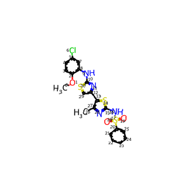 COc1ccc(Cl)cc1Nc1nc(-c2sc(NS(=O)(=O)c3ccccc3)nc2C)cs1